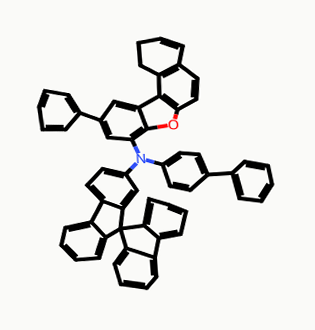 C1=Cc2ccc3oc4c(N(c5ccc(-c6ccccc6)cc5)c5ccc6c(c5)C5(c7ccccc7-c7ccccc75)c5ccccc5-6)cc(-c5ccccc5)cc4c3c2CC1